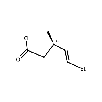 CCC=C[C@H](C)CC(=O)Cl